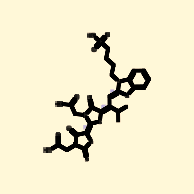 CC(C)C(/C=C1\Sc2ccccc2N1CCCCS(=O)(=O)O)=c1\s/c(=C2\SC(=S)N(CC(=O)O)C2=O)n(CC(=O)O)c1=O